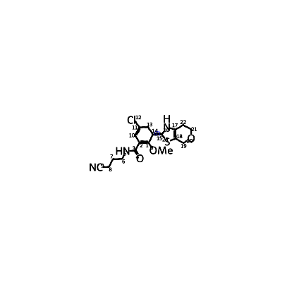 COC1=C(C(=O)NCCCC#N)C=C(Cl)C/C1=C1\NC2=C(COCC2)S1